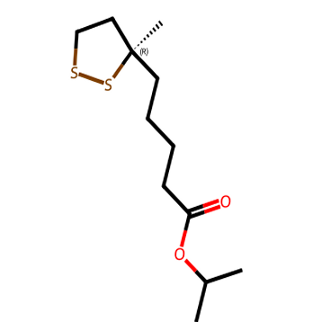 CC(C)OC(=O)CCCC[C@]1(C)CCSS1